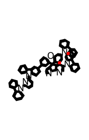 c1cc(-n2c3ccccc3c3ccccc32)nc(-n2c3ccccc3c3cc(-c4ccc5c(c4)C4(c6ccc(-n7c8ccccc8c8ccccc87)cc6O5)c5cccnc5-c5ncc(-n6c7ccccc7c7ccccc76)cc54)ccc32)c1